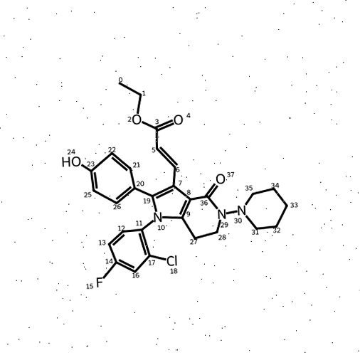 CCOC(=O)C=Cc1c2c(n(-c3ccc(F)cc3Cl)c1-c1ccc(O)cc1)CCN(N1CCCCC1)C2=O